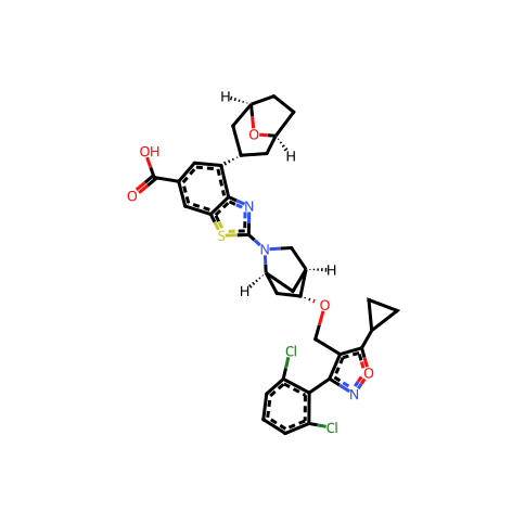 O=C(O)c1cc([C@@H]2C[C@H]3CC[C@@H](C2)O3)c2nc(N3C[C@@H]4C[C@H]3C[C@H]4OCc3c(-c4c(Cl)cccc4Cl)noc3C3CC3)sc2c1